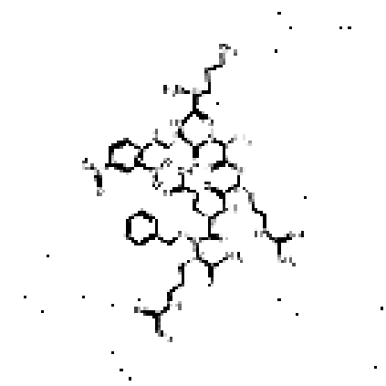 CCCC[C@H](N)C(=O)N[C@@H](CNc1ccc([N+](=O)[O-])cc1[N+](=O)[O-])C(=O)N[C@@H](C)C(=O)N[C@H](CCCNC(=N)N)C(=O)N[C@H](CCC(=O)O)C(=O)N(OCc1ccccc1)[C@H](CCCNC(=N)N)C(N)=O